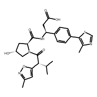 Cc1cc([C@H](C(=O)N2C[C@H](O)C[C@H]2C(=O)N[C@@H](CC(=O)O)c2ccc(-c3scnc3C)cc2)C(C)C)on1